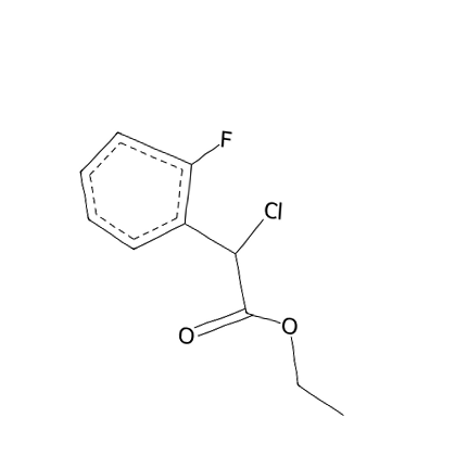 CCOC(=O)C(Cl)c1ccccc1F